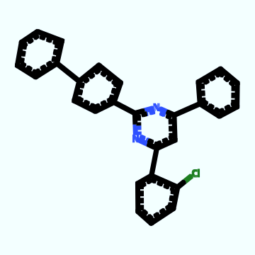 Clc1ccccc1-c1cc(-c2ccccc2)nc(-c2ccc(-c3ccccc3)cc2)n1